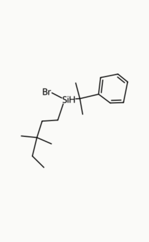 CCC(C)(C)CC[SiH](Br)C(C)(C)c1ccccc1